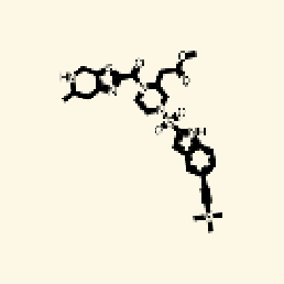 COC(=O)CC1CN(S(=O)(=O)c2cc3cc(C#C[Si](C)(C)C)ccc3[nH]2)CCN1C(=O)c1nc2c(s1)CNC(C)C2